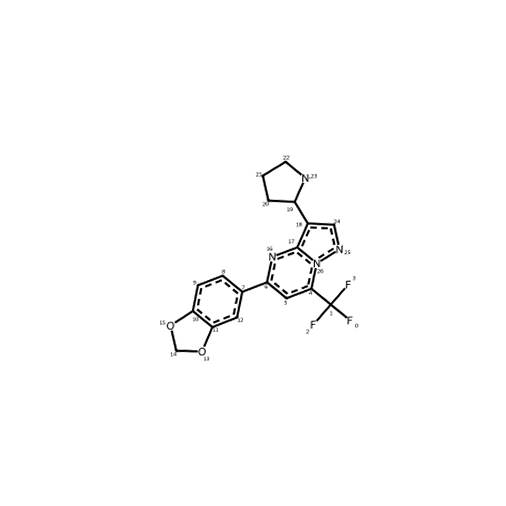 FC(F)(F)c1cc(-c2ccc3c(c2)OCO3)nc2c(C3CCC[N]3)cnn12